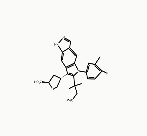 COCC(C)(C)c1c([C@@H]2CO[C@@H](C(=O)O)C2)c2cc3[nH]ncc3cc2n1-c1ccc(F)c(C)c1